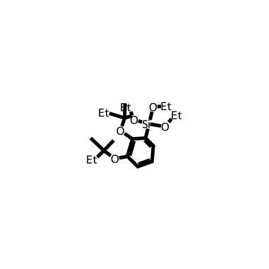 CCO[Si](OCC)(OCC)c1cccc(OC(C)(C)CC)c1OC(C)(C)CC